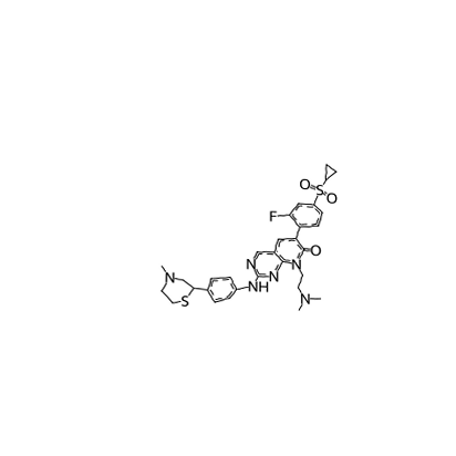 CN(C)CCn1c(=O)c(-c2ccc(S(=O)(=O)C3CC3)cc2F)cc2cnc(Nc3ccc(C4CN(C)CCS4)cc3)nc21